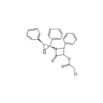 O=C(CCl)OC1C(=O)N([C@@]2(c3ccccc3)N[C@H]2c2ccccc2)C1c1ccccc1